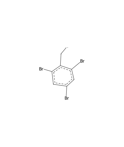 [CH2]Cc1c(Br)cc(Br)cc1Br